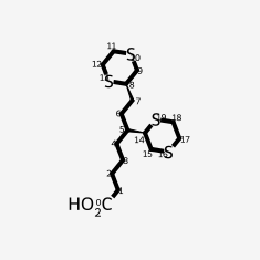 O=C(O)CCCCC(CC[C@@H]1CSCCS1)[C@@H]1CSCCS1